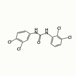 O=C(Nc1ccc(Cl)c(Cl)c1)Nc1cccc(Cl)c1Cl